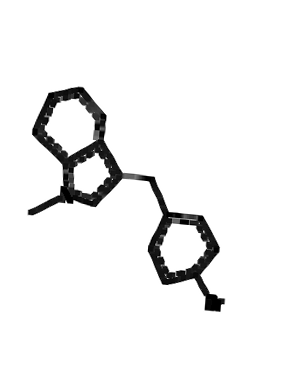 Cn1cc(Cc2ccc(Br)cc2)c2ccccc21